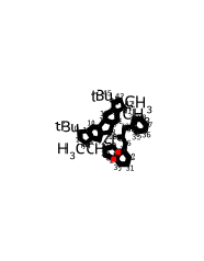 CC(C)(C)C1=CC(C)(C)c2cc3c(cc21)-c1cc2c(cc1[CH]3[Zr]([C]1=CC=CC1)=[C](Cc1ccccc1)Cc1ccccc1)C(C)(C)C=C2C(C)(C)C